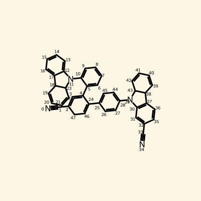 N#CC1=C=C(c2ccccc2N2c3ccccc3C3C=CC=CC32)C(c2ccc(N3c4cc(C#N)ccc4C4C=CC=CC43)cc2)=CC1